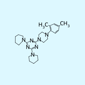 Cc1ccc(N2CCN(c3nc(N4CCCCC4)nc(N4CCCCC4)n3)CC2)c(C)c1